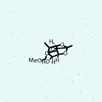 COCOC1[C@@H]2OC3(C)OC(C2C)[C@H](O)[C@H]1O3